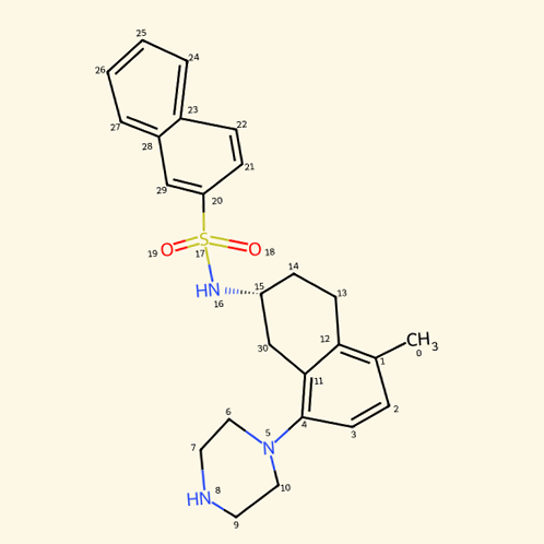 Cc1ccc(N2CCNCC2)c2c1CC[C@@H](NS(=O)(=O)c1ccc3ccccc3c1)C2